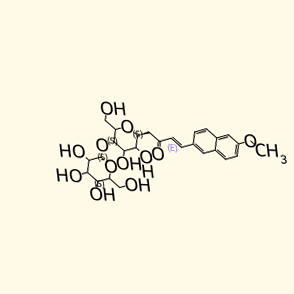 COc1ccc2cc(/C=C/C(=O)C[C@@H]3OC(CO)[C@@H](O[C@@H]4OC(CO)[C@@H](O)C(O)C4O)C(O)C3O)ccc2c1